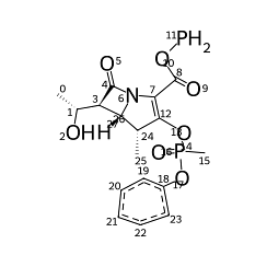 C[C@@H](O)[C@H]1C(=O)N2C(C(=O)OP)=C(OP(C)(=O)Oc3ccccc3)[C@H](C)[C@H]12